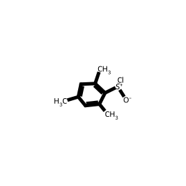 Cc1cc(C)c([S+]([O-])Cl)c(C)c1